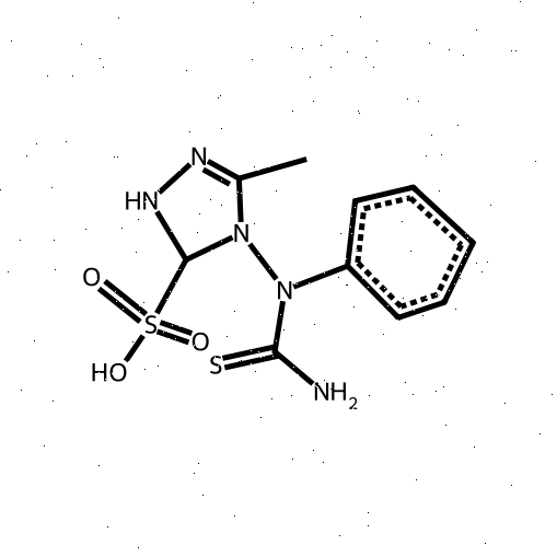 CC1=NNC(S(=O)(=O)O)N1N(C(N)=S)c1ccccc1